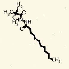 CCCCCCCCCCCC(=O)NNC(=O)C(C)(C)C